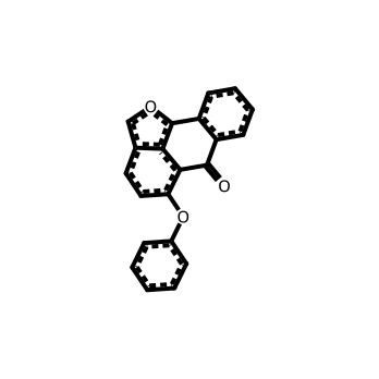 O=C1c2ccccc2-c2occ3ccc(Oc4ccccc4)c1c23